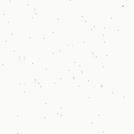 CC(C)Oc1cc(-c2ccc(OC3CCN(C4CCCC4)CC3)cc2)c[nH]c1=O